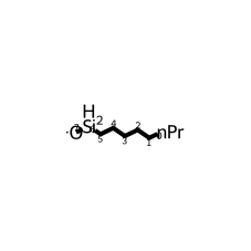 CCCCCCCC[SiH2][O]